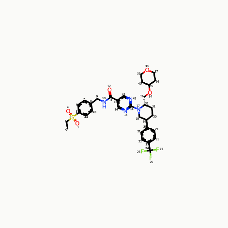 CCS(=O)(=O)c1ccc(CNC(=O)c2cnc(N3CC(c4ccc(C(F)(F)F)cc4)CC[C@H]3COC3CCOCC3)nc2)cc1